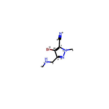 CNCc1nn(C)c(C#N)c1Br